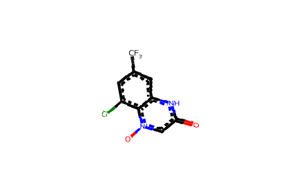 O=c1c[n+]([O-])c2c(Cl)cc(C(F)(F)F)cc2[nH]1